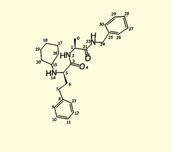 C[C@H](NC(=O)[C@@H](CCc1ccccc1)NC1CCCCC1)C(=O)NCc1cc[c]cc1